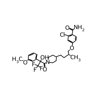 COc1cccc(C(O)(C(=O)N2CCC(CC[C@H](C)COc3ccc(C(N)=O)c(Cl)c3)CC2)C(F)(F)F)c1